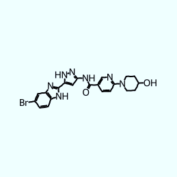 O=C(Nc1cc(-c2nc3cc(Br)ccc3[nH]2)[nH]n1)c1ccc(N2CCC(O)CC2)nc1